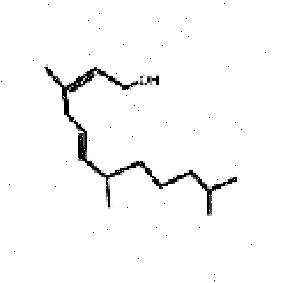 CC(=CCO)CC=CC(C)CCCC(C)C